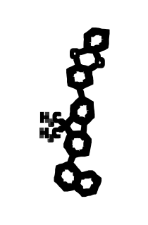 CC1(C)c2cc(-c3ccc4c(c3)Oc3ccccc3O4)ccc2-c2ccc(-c3cccc4ccccc34)cc21